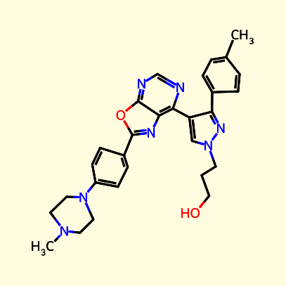 Cc1ccc(-c2nn(CCCO)cc2-c2ncnc3oc(-c4ccc(N5CCN(C)CC5)cc4)nc23)cc1